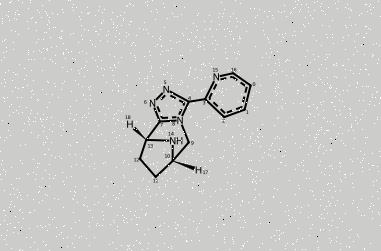 c1ccc(-c2nnc3n2C[C@@H]2CC[C@H]3N2)nc1